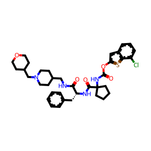 O=C(NC1(C(=O)N[C@H](Cc2ccccc2)C(=O)NCC2CCN(CC3CCOCC3)CC2)CCCC1)Oc1cc2cccc(Cl)c2s1